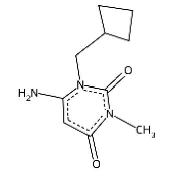 Cn1c(=O)cc(N)n(CC2CCC2)c1=O